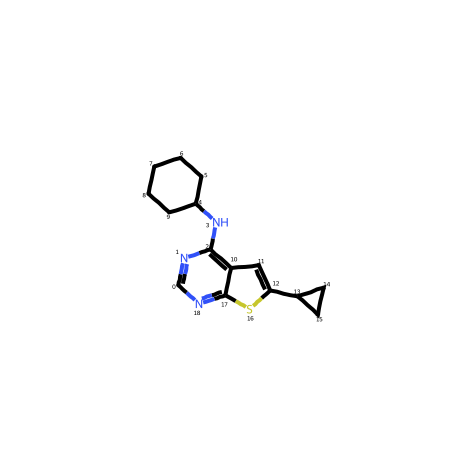 c1nc(NC2CCCCC2)c2cc(C3CC3)sc2n1